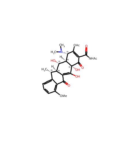 COc1cccc2c1C(=O)C1=C(O)[C@]3(O)C(=O)C(C(=O)NC(C)=O)=C(OC(C)=O)[C@@H](N(C)C)[C@@H]3[C@@H](O)[C@@H]1[C@H]2C